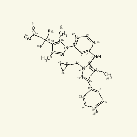 Cc1nn(-c2cc(Nc3c(C)c(-c4ccc(F)cc4)nn3CC3CC3)ncn2)c(C)c1C(F)(F)C(=O)O